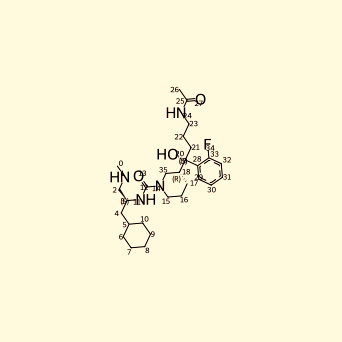 CNC[C@H](CC1CCCCC1)NC(=O)N1CCC[C@@H]([C@@](O)(CCCNC(C)=O)c2ccccc2F)C1